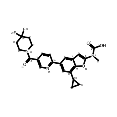 CN(C(=O)O)c1cc2cc(-c3ccc(C(=O)N4CCC(F)(F)CC4)cn3)cc(C3CC3)c2o1